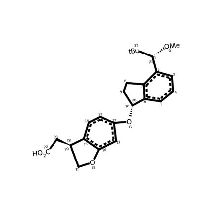 CO[C@H](c1cccc2c1CC[C@H]2Oc1ccc2c(c1)OC[C@H]2CC(=O)O)C(C)(C)C